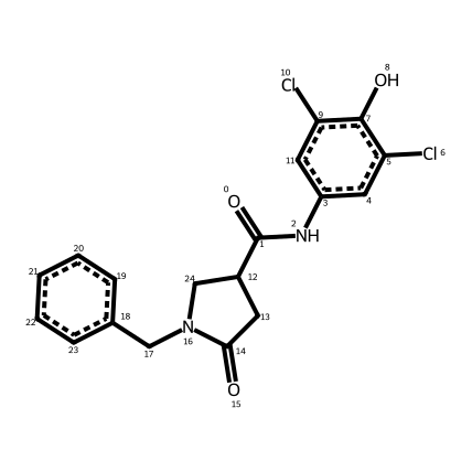 O=C(Nc1cc(Cl)c(O)c(Cl)c1)C1CC(=O)N(Cc2ccccc2)C1